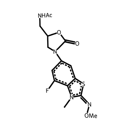 CON=c1sc2cc(N3CC(CNC(C)=O)OC3=O)cc(F)c2n1C